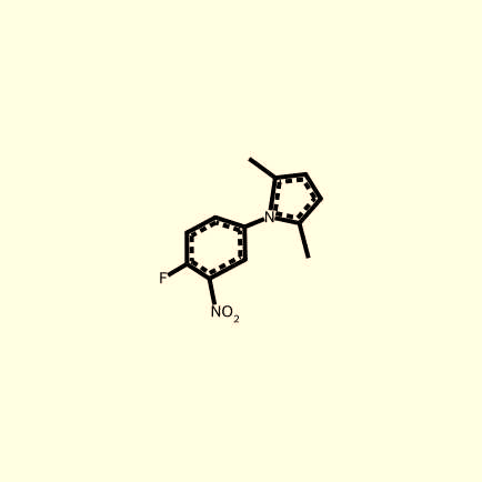 Cc1ccc(C)n1-c1ccc(F)c([N+](=O)[O-])c1